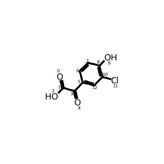 O=C(O)C(=O)c1ccc(O)c(Cl)c1